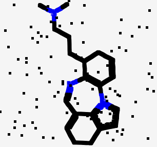 CN(C)CCCC1CC=CC2=C1N=CC1=CCCc3ccn2c31